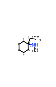 CCNC1(CC(F)(F)F)CCCCC1